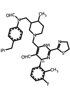 Cc1c(F)cccc1[C@@H]1N=C(C2=NCCS2)NC(CN2CCC(C)C(CN(C=O)c3ccc(CC(C)C)cc3)C2)=C1C=O